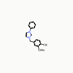 COc1cc(CN2C=CN(c3ccccc3)C2)ccc1C#N